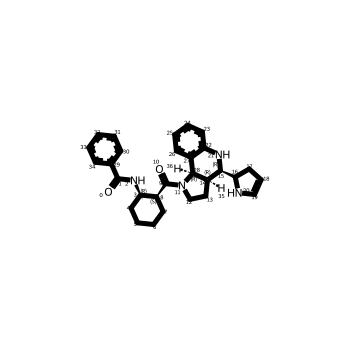 O=C(N[C@@H]1CCCC[C@@H]1C(=O)N1CC[C@@H]2[C@H](C3CC=CN3)Nc3ccccc3[C@@H]21)c1ccccc1